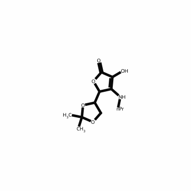 CCCNC1=C(O)C(=O)OC1C1COC(C)(C)O1